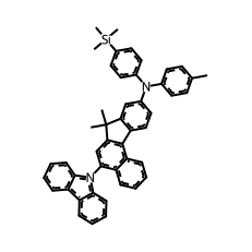 Cc1ccc(N(c2ccc([Si](C)(C)C)cc2)c2ccc3c(c2)C(C)(C)c2cc(-n4c5ccccc5c5ccccc54)c4ccccc4c2-3)cc1